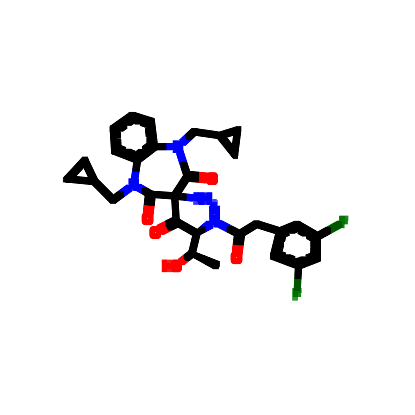 C[C@@H](O)[C@H](NC(=O)Cc1cc(F)cc(F)c1)C(=O)C1(N)C(=O)N(CC2CC2)c2ccccc2N(CC2CC2)C1=O